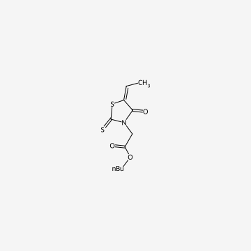 C/C=C1/SC(=S)N(CC(=O)OCCCC)C1=O